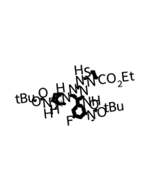 CCOC(=O)c1csc(Nc2nc(N3C[C@H]4C[C@@H]3C[C@H]4NC(=O)OC(C)(C)C)c3c(n2)[nH]c2c(N(C)C(=O)OC(C)(C)C)cc(F)cc23)n1